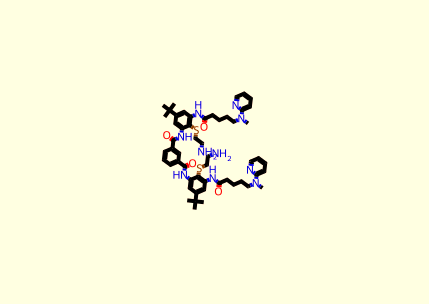 CN(CCCCC(=O)Nc1cc(C(C)(C)C)cc(NC(=O)c2cccc(C(=O)Nc3cc(C(C)(C)C)cc(NC(=O)CCCCN(C)c4ccccn4)c3SCCN)c2)c1SCCN)c1ccccn1